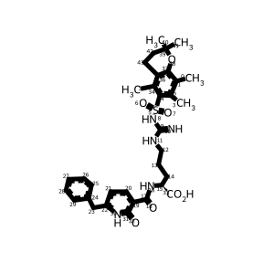 Cc1c(C)c(S(=O)(=O)NC(=N)NCCC[C@@H](NC(=O)c2ccc(Cc3ccccc3)[nH]c2=O)C(=O)O)c(C)c2c1OC(C)(C)CC2